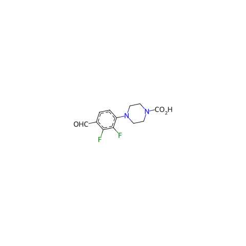 O=Cc1ccc(N2CCN(C(=O)O)CC2)c(F)c1F